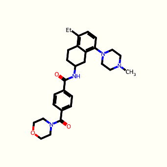 CCc1ccc(N2CCN(C)CC2)c2c1CCC(NC(=O)c1ccc(C(=O)N3CCOCC3)cc1)C2